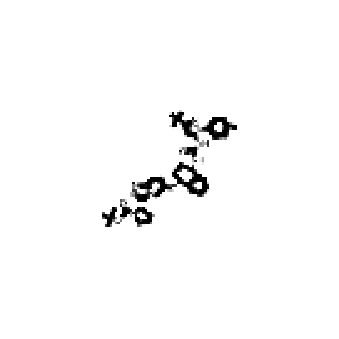 Cc1ccc(-n2nc(C(C)(C)C)cc2NC(=O)N[C@H]2CC[C@@H](Oc3ccc4nnc([C@@H]5CCCN5C(=O)OC(C)(C)C)n4c3)c3ccccc32)cc1